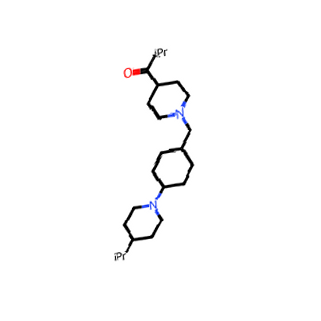 CC(C)C(=O)C1CCN(CC2CCC(N3CCC(C(C)C)CC3)CC2)CC1